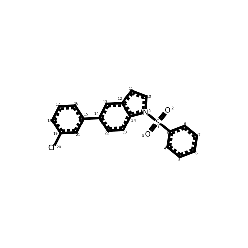 O=S(=O)(c1ccccc1)n1ccc2cc(-c3cccc(Cl)c3)ccc21